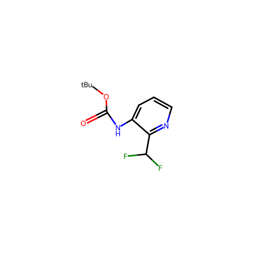 CC(C)(C)OC(=O)Nc1cccnc1C(F)F